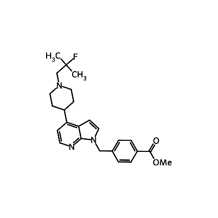 COC(=O)c1ccc(Cn2ccc3c(C4CCN(CC(C)(C)F)CC4)ccnc32)cc1